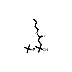 CCCCOC(=O)CCC(C)(O)N=NC(C)(C)C